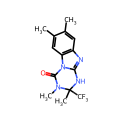 Cc1cc2nc3n(c2cc1C)C(=O)N(C)C(C)(C(F)(F)F)N3